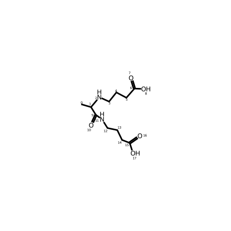 CC(NCCCC(=O)O)C(=O)NCCCC(=O)O